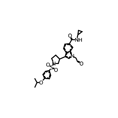 CC(C)Oc1ccc(S(=O)(=O)N2CCC(c3cn(CC=O)c4cc(C(=O)NC5CC5)ccc34)C2)cc1